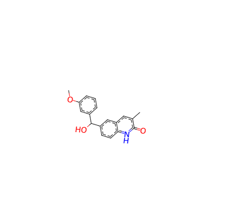 COc1cccc(C(O)c2ccc3[nH]c(=O)c(C)cc3c2)c1